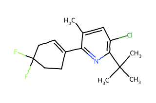 Cc1cc(Cl)c(C(C)(C)C)nc1C1=CCC(F)(F)CC1